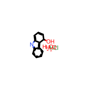 Cl.O.O.OC1C=CC=C2N=c3ccccc3=C21